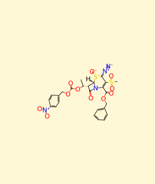 CC(OC(=O)OCc1ccc([N+](=O)[O-])cc1)[C@H]1C(=O)N2C(C(=O)OCc3ccccc3)=C(S(C)(=O)=O)C(=[N+]=[N-])[S@+]([O-])[C@@H]12